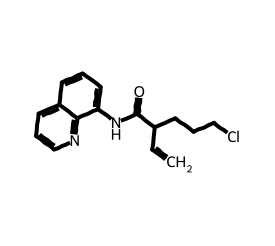 C=CC(CCCCl)C(=O)Nc1cccc2cccnc12